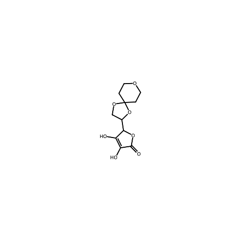 O=C1OC(C2COC3(CCOCC3)O2)C(O)=C1O